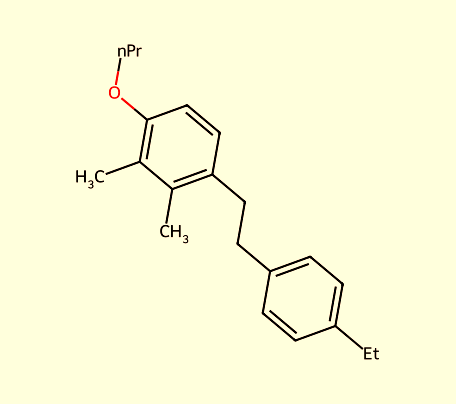 CCCOc1ccc(CCc2ccc(CC)cc2)c(C)c1C